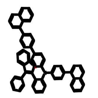 c1ccc(-c2c(-c3ccccc3N(c3ccc(-c4ccc(-c5cccc6ccccc56)cc4)cc3)c3ccc(-c4cccc5ccccc45)cc3)oc3ccccc23)cc1